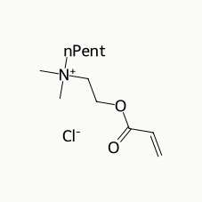 C=CC(=O)OCC[N+](C)(C)CCCCC.[Cl-]